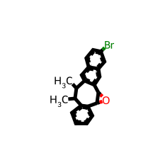 CC1c2ccccc2C2OC2c2cc3cc(Br)ccc3cc2C1C